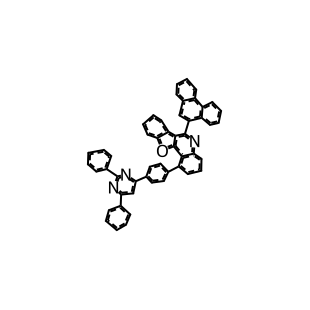 c1ccc(-c2cc(-c3ccc(-c4cccc5nc(-c6cc7ccccc7c7ccccc67)c6c7ccccc7oc6c45)cc3)nc(-c3ccccc3)n2)cc1